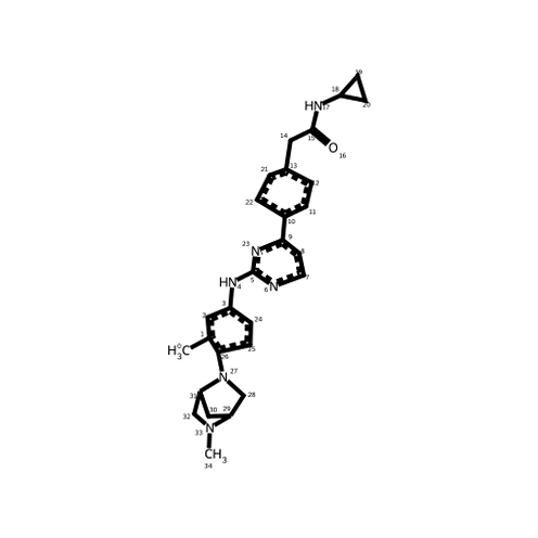 Cc1cc(Nc2nccc(-c3ccc(CC(=O)NC4CC4)cc3)n2)ccc1N1CC2CC1CN2C